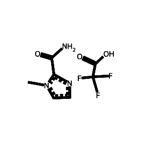 Cn1ccnc1C(N)=O.O=C(O)C(F)(F)F